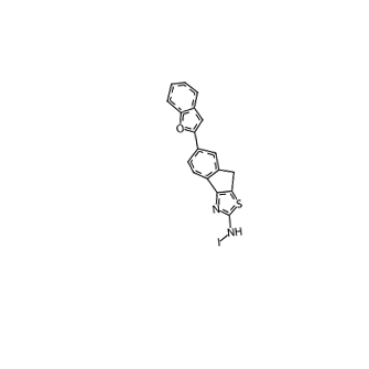 INc1nc2c(s1)Cc1cc(-c3cc4ccccc4o3)ccc1-2